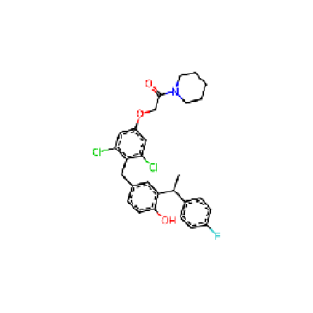 CC(c1ccc(F)cc1)c1cc(Cc2c(Cl)cc(OCC(=O)N3CCCCC3)cc2Cl)ccc1O